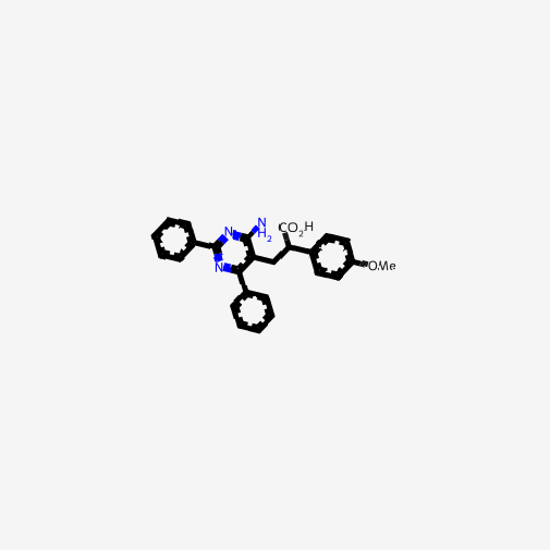 COc1ccc(C(Cc2c(N)nc(-c3ccccc3)nc2-c2ccccc2)C(=O)O)cc1